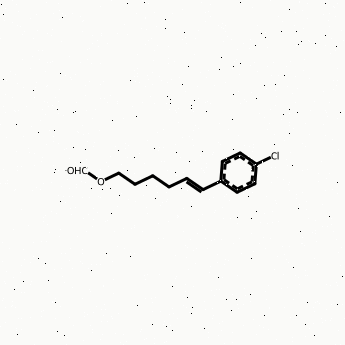 O=[C]OCCCC/C=C/c1ccc(Cl)cc1